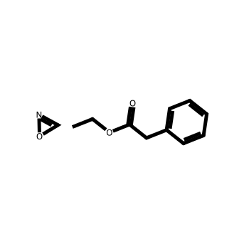 C1=NO1.CCOC(=O)Cc1ccccc1